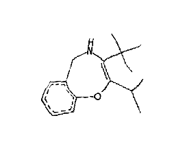 CC(C)C1=C(C(C)(C)C)NCc2ccccc2O1